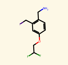 NCc1ccc(OCC(F)F)cc1CI